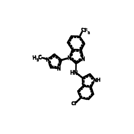 Cn1cnc(-n2c(Nc3c[nH]c4ccc(Cl)cc34)nc3cc(C(F)(F)F)ccc32)c1